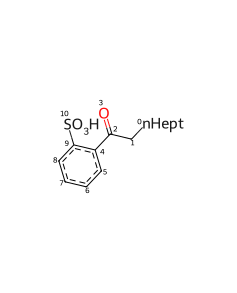 CCCCCCCCC(=O)c1ccccc1S(=O)(=O)O